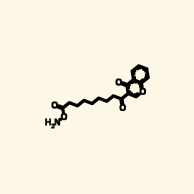 NOC(=O)CCCCCCCC(=O)c1coc2ccccc2c1=O